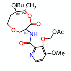 COc1ccnc(C(=O)N[C@H]2COCC[C@@H](OCC(C)C)[C@H](C)OC2=O)c1OCOC(C)=O